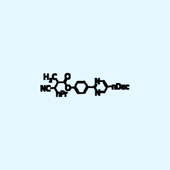 CCCCCCCCCCc1cnc(-c2ccc(OC(=O)C(C)C(C#N)CCC)cc2)nc1